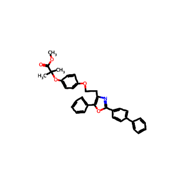 COC(=O)C(C)(C)Oc1ccc(OCCc2nc(-c3ccc(-c4ccccc4)cc3)oc2-c2ccccc2)cc1